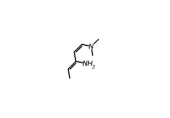 CC=C(N)/C=C\N(C)C